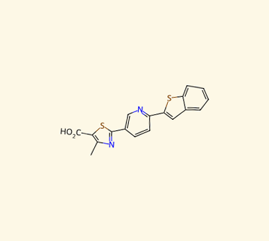 Cc1nc(-c2ccc(-c3cc4ccccc4s3)nc2)sc1C(=O)O